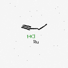 C#CCC.Cl.[Ru]